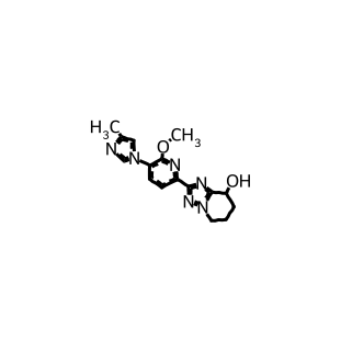 COc1nc(-c2nc3n(n2)CCCC3O)ccc1-n1cnc(C)c1